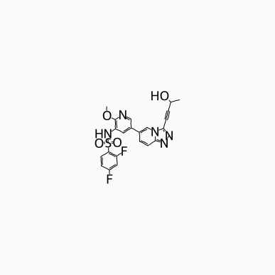 COc1ncc(-c2ccc3nnc(C#CC(C)O)n3c2)cc1NS(=O)(=O)c1ccc(F)cc1F